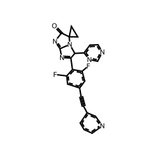 O=C1N=C2N=C(c3c(F)cc(C#Cc4cccnc4)cc3F)C(c3ccncn3)N2C12CC2